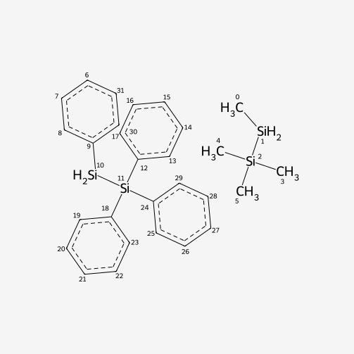 C[SiH2][Si](C)(C)C.c1ccc([SiH2][Si](c2ccccc2)(c2ccccc2)c2ccccc2)cc1